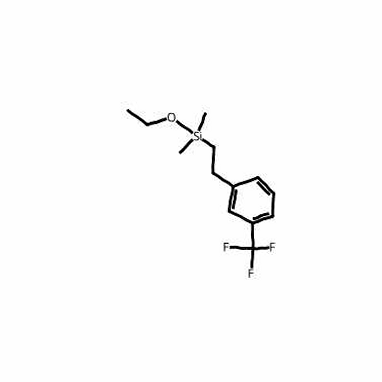 CCO[Si](C)(C)CCc1cccc(C(F)(F)F)c1